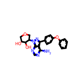 Nc1ncnc2c1c(-c1ccc(Oc3ccccc3)cc1)nn2C1COCC(O)C1O